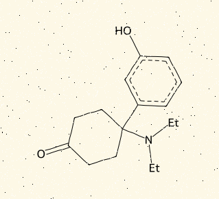 CCN(CC)C1(c2cccc(O)c2)CCC(=O)CC1